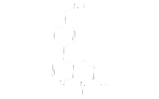 Cn1c(=O)ccc2c(-c3ccc(CN)cc3)ccnc21